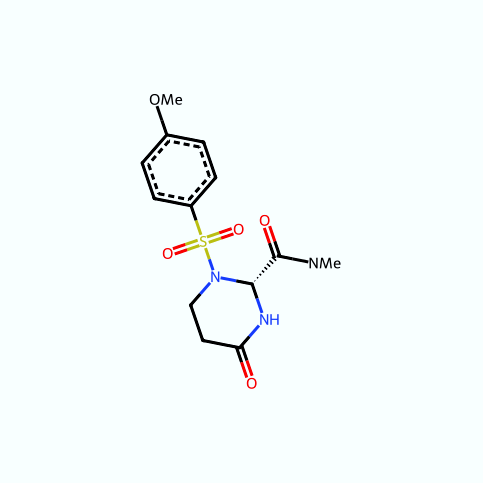 CNC(=O)[C@@H]1NC(=O)CCN1S(=O)(=O)c1ccc(OC)cc1